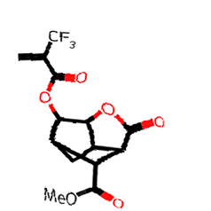 C=C(C(=O)OC1C2CC3C1OC(=O)C3C2C(=O)OC)C(F)(F)F